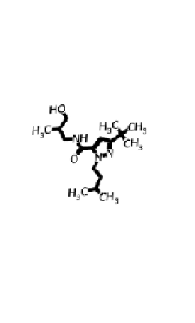 CC(C)CCn1nc(C(C)(C)C)cc1C(=O)NCC(C)CO